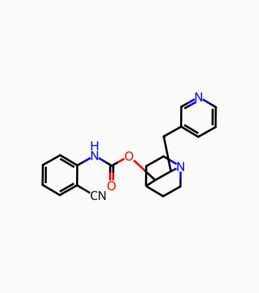 N#Cc1ccccc1NC(=O)OC1C2CCN(CC2)C1Cc1cccnc1